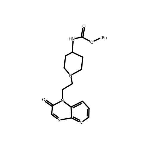 CC(C)(C)OC(=O)NC1CCN(CCn2c(=O)cnc3ncccc32)CC1